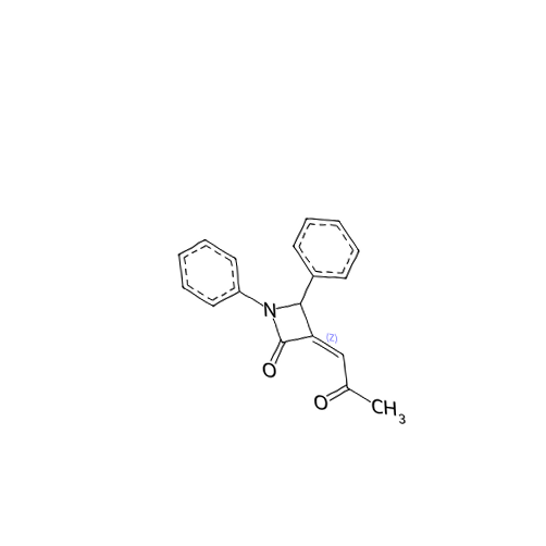 CC(=O)/C=C1\C(=O)N(c2ccccc2)C1c1ccccc1